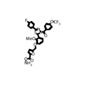 COc1c(OCc2ccc(C(=O)ON)o2)cccc1C1SC(c2ccc(F)cc2)=NN1C(=O)c1ccc(OC(F)(F)F)cc1